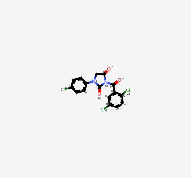 O=C1CN(c2ccc(Cl)cc2)C(=O)N1C(=O)c1cc(Cl)ccc1Cl